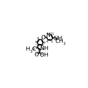 CNc1ccc(Oc2ccc3c(C)c(C(=O)O)[nH]c3c2)nc1